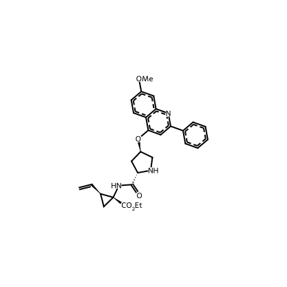 C=C[C@@H]1C[C@]1(NC(=O)[C@@H]1C[C@@H](Oc2cc(-c3ccccc3)nc3cc(OC)ccc23)CN1)C(=O)OCC